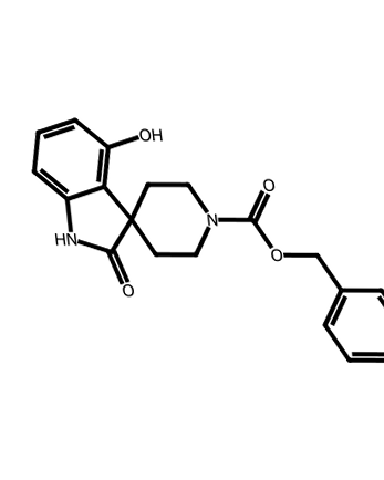 O=C(OCc1ccccc1)N1CCC2(CC1)C(=O)Nc1cccc(O)c12